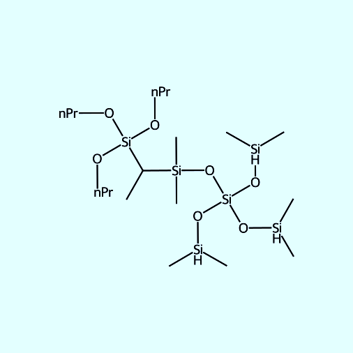 CCCO[Si](OCCC)(OCCC)C(C)[Si](C)(C)O[Si](O[SiH](C)C)(O[SiH](C)C)O[SiH](C)C